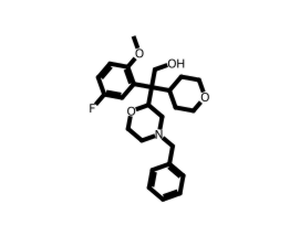 COc1ccc(F)cc1C(CO)(C1CCOCC1)C1CN(Cc2ccccc2)CCO1